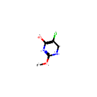 CC(C)OC1=NC(O)=C(Cl)[CH]N1